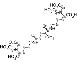 NC(CCC(=O)NCCCCC(C(=O)O)N(CC(=O)O)CC(=O)O)C(=O)NCCCCC(C(=O)O)N(CC(=O)O)CC(=O)O